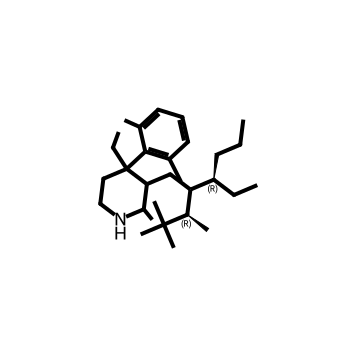 CCC[C@@H](CC)C(CC1C(C)NCCC1(CC)c1c(C)cccc1C)[C@@H](C)C(C)(C)C